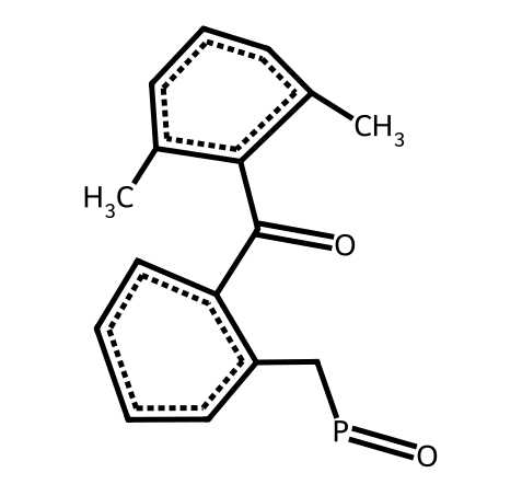 Cc1cccc(C)c1C(=O)c1ccccc1CP=O